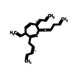 C=C/C=C\CC1=NC(=C=CCC=C)/C(=C\C=C)C=CC1C=C